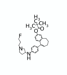 CC(C)(C)C(=O)Oc1ccc2c(c1)CCCC=C2c1ccc(NC2CCN(CCCF)C2)cc1